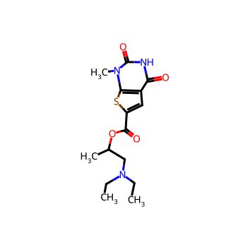 CCN(CC)CC(C)OC(=O)c1cc2c(=O)[nH]c(=O)n(C)c2s1